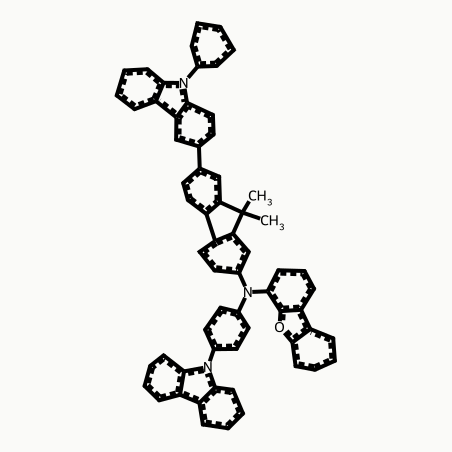 CC1(C)c2cc(-c3ccc4c(c3)c3ccccc3n4-c3ccccc3)ccc2-c2ccc(N(c3ccc(-n4c5ccccc5c5ccccc54)cc3)c3cccc4c3oc3ccccc34)cc21